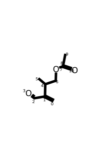 C=C(C=O)C(C)COC(C)=O